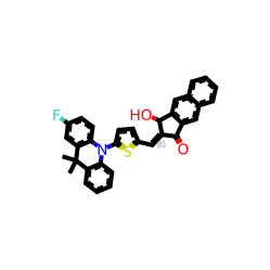 CC1(C)c2ccccc2N(c2ccc(/C=C3/C(=O)c4cc5ccccc5cc4C3O)s2)c2ccc(F)cc21